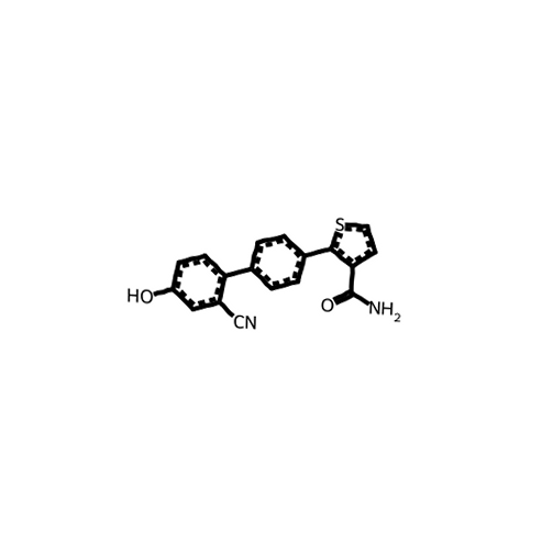 N#Cc1cc(O)ccc1-c1ccc(-c2sccc2C(N)=O)cc1